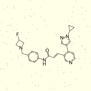 O=C(C=Cc1cnccc1-c1cnn(C2CC2)c1)Nc1ccc(CN2CC(F)C2)cc1